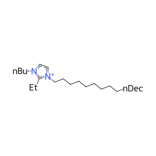 CCCCCCCCCCCCCCCCCCC[n+]1ccn(CCCC)c1CC